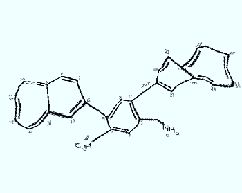 Nc1cc([N+](=O)[O-])c(-c2ccc3ccccc3c2)cc1-c1ccc2ccccc2c1